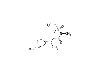 CCS(=O)(=O)N(C)C(=O)CC(C)[C@H]1CC[C@@H](C)C1